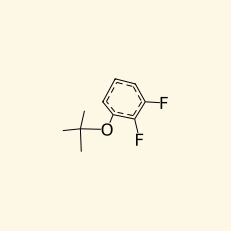 CC(C)(C)Oc1cccc(F)c1F